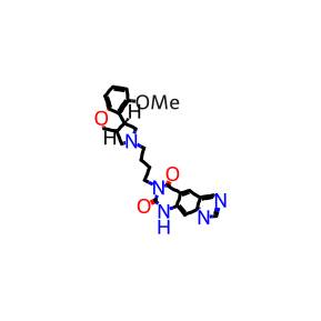 COc1cccc2c1[C@@H]1CN(CCCCn3c(=O)[nH]c4cc5ncncc5cc4c3=O)C[C@@H]1CO2